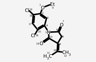 CCOc1cc(N2C(=O)CC(=C(C)C)C2=O)c(Cl)cc1Cl